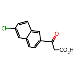 O=C(O)CC(=O)c1ccc2cc(Cl)ccc2c1